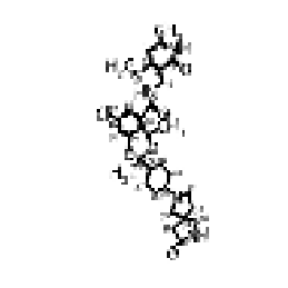 CSc1cc(C)[nH]c(=O)c1CNC(=O)c1cc(Cl)cc2c1C(C)OC(C)(C1CCC(N3CCC4(CNC(=O)C4)C3)CC1)O2